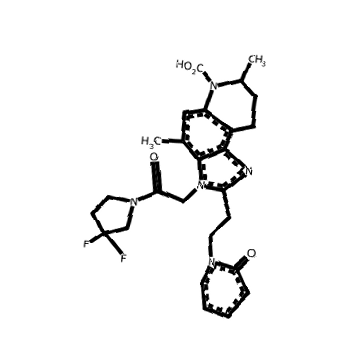 Cc1cc2c(c3nc(CCn4ccccc4=O)n(CC(=O)N4CCC(F)(F)C4)c13)CCC(C)N2C(=O)O